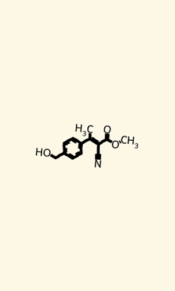 COC(=O)/C(C#N)=C(\C)c1ccc(CO)cc1